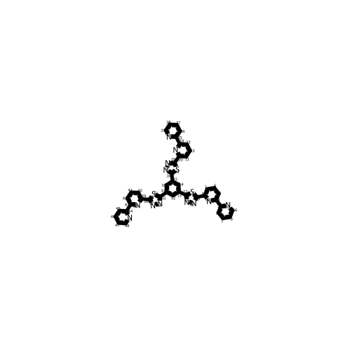 c1ccc(-c2cccc(-c3nnc(-c4cc(-c5nnc(-c6cccc(-c7ccccn7)n6)s5)cc(-c5nnc(-c6cccc(-c7ccccn7)n6)s5)c4)s3)n2)nc1